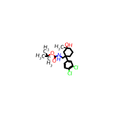 CC(C)(C)OC(=O)NCC1(c2ccc(Cl)c(Cl)c2)CCC[C@@](C)(O)C1